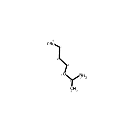 CCCCCCCOC(C)N